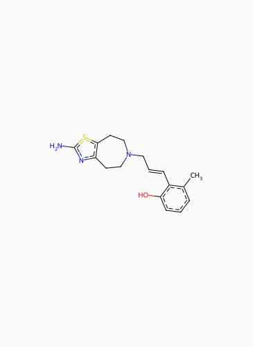 Cc1cccc(O)c1C=CCN1CCc2nc(N)sc2CC1